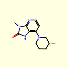 C[C@@H]1CCCN(c2ccnc3c2[nH]c(=O)n3C)C1